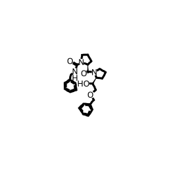 O=C(NCc1ccccc1)N1CCC[C@H]1C(=O)N1CCC[C@H]1C(O)COCc1ccccc1